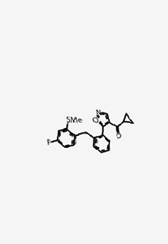 CSc1cc(F)ccc1Cc1ccccc1-c1oncc1C(=O)C1CC1